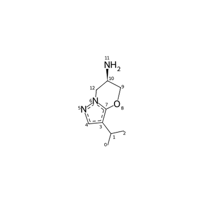 CC(C)c1cnn2c1OC[C@H](N)C2